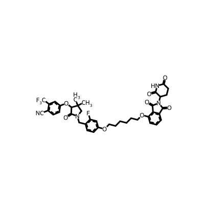 CC1(C)CN(Cc2ccc(OCCCCCCOc3cccc4c3C(=O)N(C3CCC(=O)NC3=O)C4=O)cc2F)C(=O)C1Oc1ccc(C#N)c(C(F)(F)F)c1